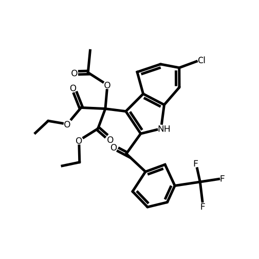 CCOC(=O)C(OC(C)=O)(C(=O)OCC)c1c(C(=O)c2cccc(C(F)(F)F)c2)[nH]c2cc(Cl)ccc12